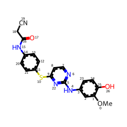 COc1cc(Nc2nccc(Sc3ccc(NC(=O)CC#N)cc3)n2)ccc1O